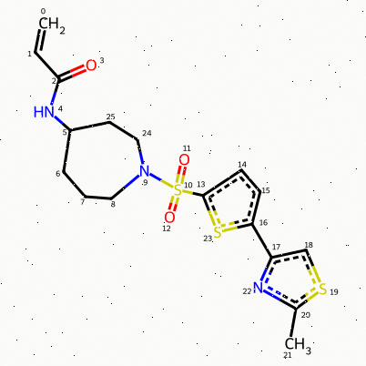 C=CC(=O)NC1CCCN(S(=O)(=O)c2ccc(-c3csc(C)n3)s2)CC1